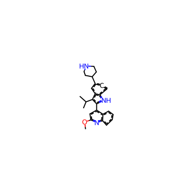 COc1cc(-c2[nH]c3ccc(C4CCNCC4)cc3c2C(C)C)c2ccccc2n1